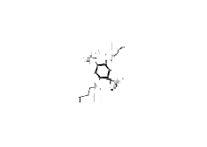 CCCCNc1cc([N+](=O)[O-])c(NCCC)cc1[N+](=O)[O-]